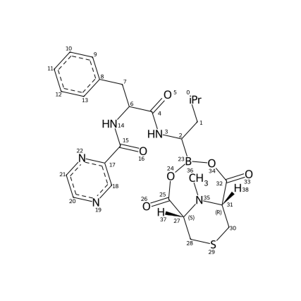 CC(C)CC(NC(=O)C(Cc1ccccc1)NC(=O)c1cnccn1)B1OC(=O)[C@H]2CSC[C@@H](C(=O)O1)N2C